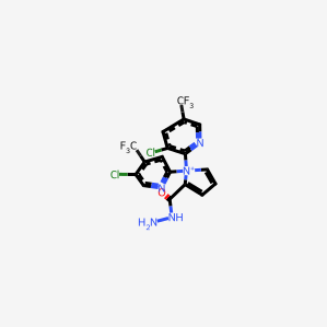 NNC(=O)C1=CC=C[N+]1(c1cc(C(F)(F)F)c(Cl)cn1)c1ncc(C(F)(F)F)cc1Cl